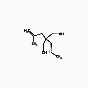 C=C(C)CC(C=CC)(CO)CO